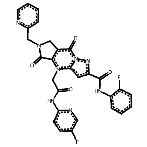 O=C(Cn1c2c(c(=O)n3nc(C(=O)Nc4ccccc4F)cc13)CN(Cc1ccccn1)C2=O)Nc1ccc(F)cn1